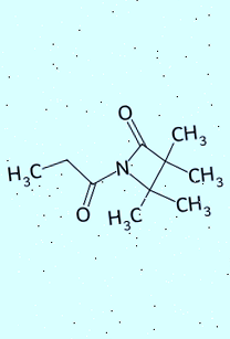 CCC(=O)N1C(=O)C(C)(C)C1(C)C